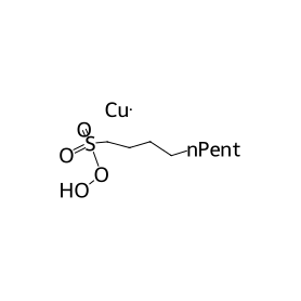 CCCCCCCCCS(=O)(=O)OO.[Cu]